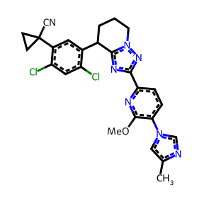 COc1nc(-c2nc3n(n2)CCCC3c2cc(C3(C#N)CC3)c(Cl)cc2Cl)ccc1-n1cnc(C)c1